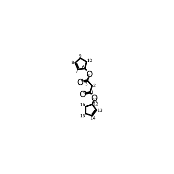 O=C(CC(=O)OC1C=CCC1)OC1C=CCC1